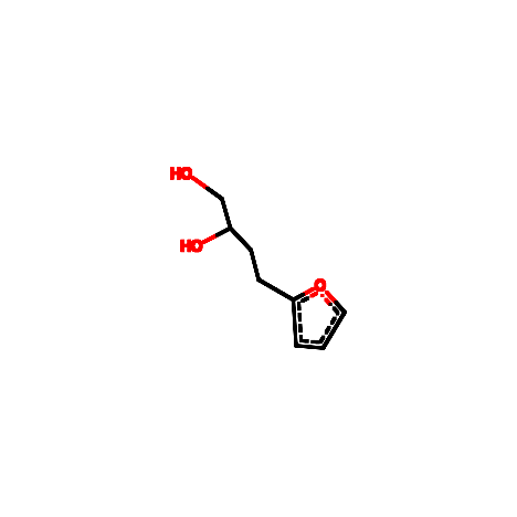 OCC(O)CCc1ccco1